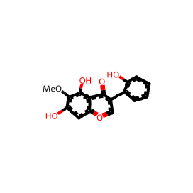 COc1c(O)cc2occ(-c3ccccc3O)c(=O)c2c1O